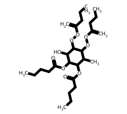 C=C(CCC)OOC1C(C)C(OC(=O)CCCC)C(OC(=O)CCCC)C(O)C1OOC(=C)CCC